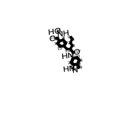 CCCCC(Cc1ccc(C(=O)NO)cc1)C(=O)Nc1ccc2cn[nH]c2c1